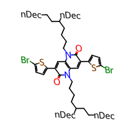 CCCCCCCCCCCCC(CCCCCCCCCC)CCCCn1c(=O)c(-c2ccc(Br)s2)cc2c1cc(-c1ccc(Br)s1)c(=O)n2CCCCC(CCCCCCCCCC)CCCCCCCCCCCC